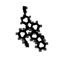 N#Cc1ccc2c(c1)c1ccccc1n2-c1cccc(C#N)c1-c1ccc2oc3ccccc3c2c1